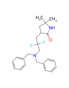 CC1(C)CC(CC(F)(F)CN(Cc2ccccc2)Cc2ccccc2)C(=O)N1